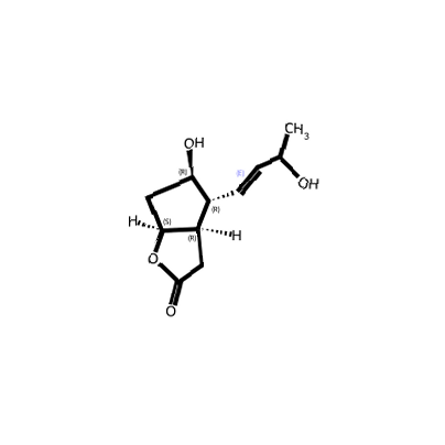 CC(O)/C=C/[C@@H]1[C@H]2CC(=O)O[C@H]2C[C@H]1O